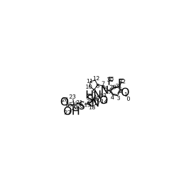 COc1ccc(N(CC2CCCC2)C(=O)Nc2ncc(SCC(C)(C)C(=O)O)s2)c(F)c1F